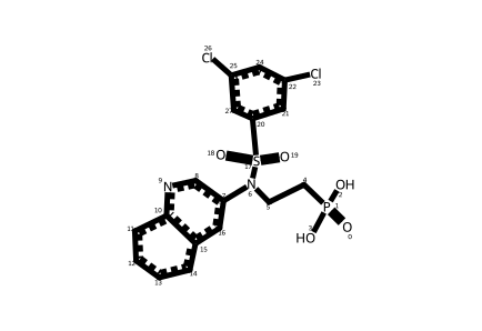 O=P(O)(O)CCN(c1cnc2ccccc2c1)S(=O)(=O)c1cc(Cl)cc(Cl)c1